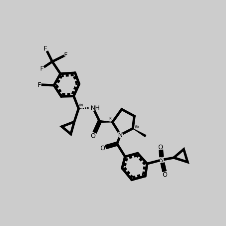 C[C@@H]1CC[C@H](C(=O)N[C@@H](c2ccc(C(F)(F)F)c(F)c2)C2CC2)N1C(=O)c1cccc(S(=O)(=O)C2CC2)c1